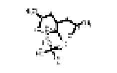 CC(Cl)CC(CC(C)Cl)C(C)Cl.O=P(O)(O)O